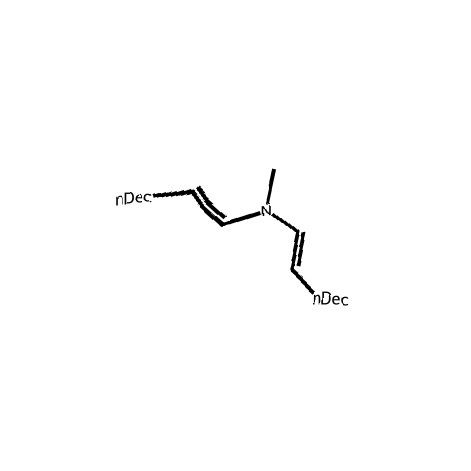 CCCCCCCCCCC=CN(C)C=CCCCCCCCCCC